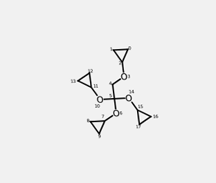 C1CC1OCC(OC1CC1)(OC1CC1)OC1CC1